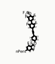 CCCCCc1cc(F)c(C(F)(F)Oc2ccc(C#Cc3cc(F)c(-c4cc(F)c(OC(F)(F)F)c(F)c4)c(F)c3)cc2)c(F)c1